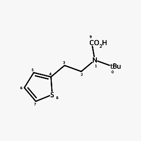 CC(C)(C)N(CCc1cccs1)C(=O)O